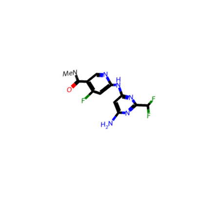 CNC(=O)c1cnc(Nc2cc(N)nc(C(F)F)n2)cc1F